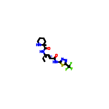 CC[C@@H](/C=C/C(=O)Nc1nnc(C(F)(F)F)s1)NC(=O)[C@@H]1CCCCN1